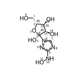 OC[C@H]1O[C@](O)(n2cnc(NO)n2)[C@H](O)[C@@H]1O